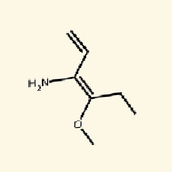 C=C/C(N)=C(\CC)OC